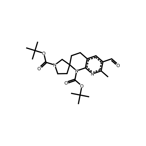 Cc1nc2c(cc1C=O)CCC1(CCN(C(=O)OC(C)(C)C)C1)N2C(=O)OC(C)(C)C